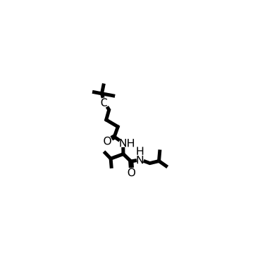 CC(C)CNC(=O)C(NC(=O)CCCCC(C)(C)C)C(C)C